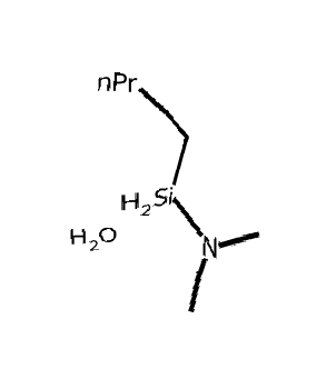 CCCC[SiH2]N(C)C.O